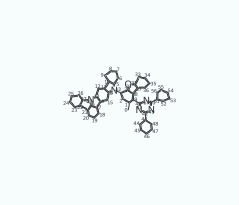 Cc1cc(-n2c3ccccc3c3cc4c(cc32)c2cccc3c5ccccc5n4c32)c2oc3ccccc3c2c1-c1nc(-c2ccccc2)nc(-c2ccccc2)n1